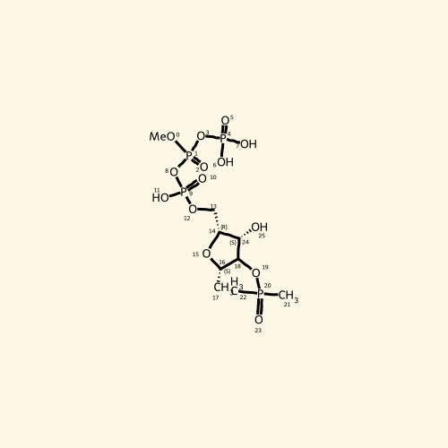 COP(=O)(OP(=O)(O)O)OP(=O)(O)OC[C@H]1O[C@@H](C)C(OP(C)(C)=O)[C@H]1O